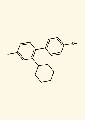 Cc1ccc(-c2ccc(O)cc2)c(C2CCCCC2)c1